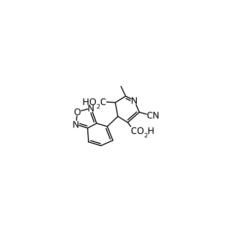 CC1=NC(C#N)=C(C(=O)O)C(c2cccc3nonc23)C1C(=O)O